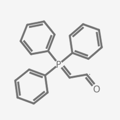 O=[C]C=P(c1ccccc1)(c1ccccc1)c1ccccc1